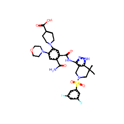 CC1(C)CN(S(=O)(=O)c2cc(F)cc(F)c2)Cc2c(NC(=O)c3cc(N4CCC(C(=O)O)CC4)c(N4CCOCC4)cc3C(N)=O)n[nH]c21